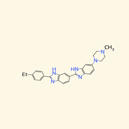 CCc1ccc(-c2nc3ccc(-c4nc5ccc(N6CCN(C)CC6)cc5[nH]4)cc3[nH]2)cc1